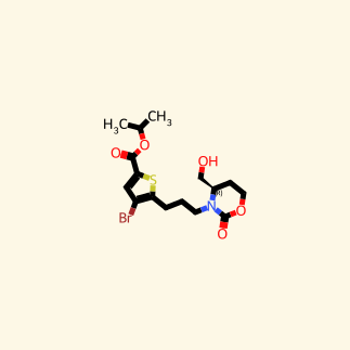 CC(C)OC(=O)c1cc(Br)c(CCCN2C(=O)OCC[C@@H]2CO)s1